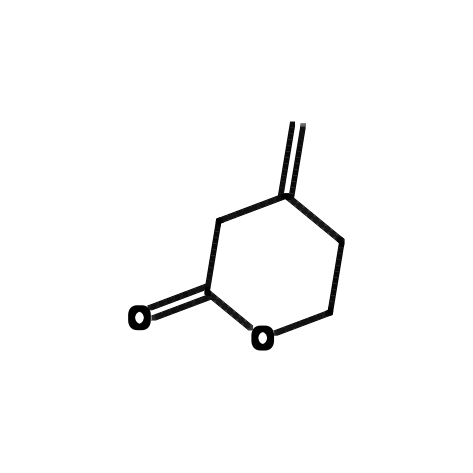 C=C1CCOC(=O)C1